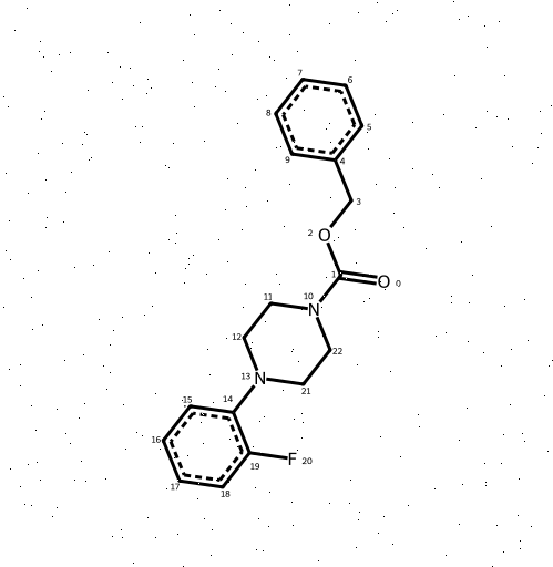 O=C(OCc1ccccc1)N1CCN(c2[c]cccc2F)CC1